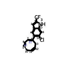 FC(F)(F)c1cc2cc(/C3=C/C=N\CC#CC3)c(Cl)cc2[nH]1